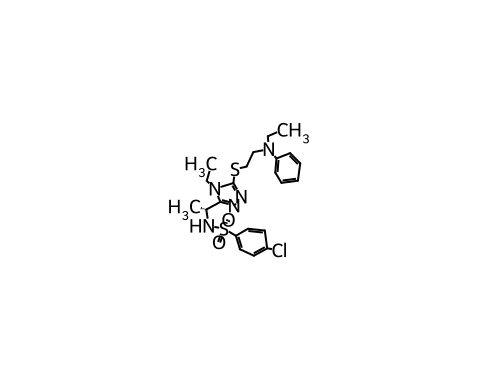 CCN(CCSc1nnc([C@@H](C)NS(=O)(=O)c2ccc(Cl)cc2)n1CC)c1ccccc1